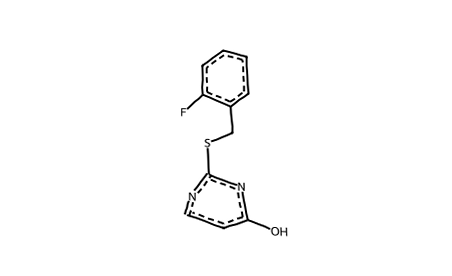 Oc1ccnc(SCc2ccccc2F)n1